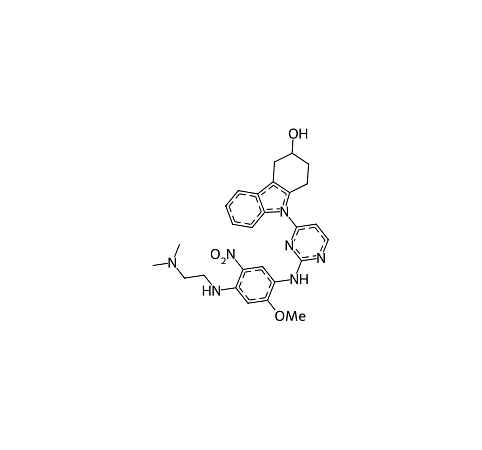 COc1cc(NCCN(C)C)c([N+](=O)[O-])cc1Nc1nccc(-n2c3c(c4ccccc42)CC(O)CC3)n1